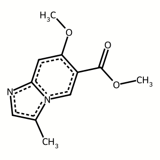 COC(=O)c1cn2c(C)cnc2cc1OC